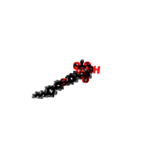 C=C(COC)C(=O)OCC(COC(=O)C(C)(C)CO)c1ccc(COc2ccc(C3CCC(CCCCC)CC3)cc2)cc1